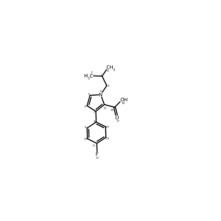 CC(C)Cn1ccc(-c2ccc(F)cc2)c1C(=O)O